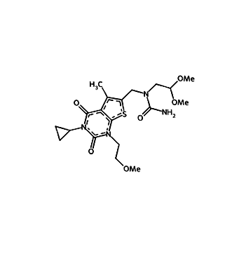 COCCn1c(=O)n(C2CC2)c(=O)c2c(C)c(CN(CC(OC)OC)C(N)=O)sc21